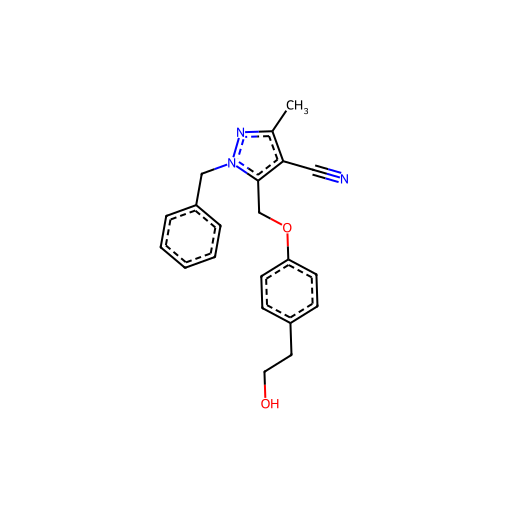 Cc1nn(Cc2ccccc2)c(COc2ccc(CCO)cc2)c1C#N